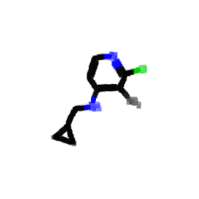 O=[N+]([O-])c1c(NCC2CC2)ccnc1Cl